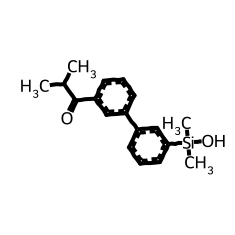 CC(C)C(=O)c1cccc(-c2cccc([Si](C)(C)O)c2)c1